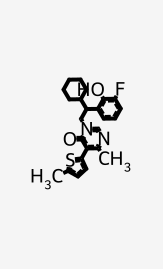 Cc1ccc(-c2c(C)ncn(CC(c3cccc(F)c3O)C3CCCCC3)c2=O)s1